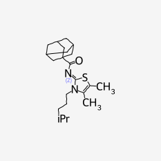 Cc1s/c(=N\C(=O)C23CC4CC(CC(C4)C2)C3)n(CCCC(C)C)c1C